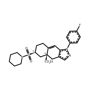 CCOC(=O)[C@]12Cc3cnn(-c4ccc(F)cc4)c3C=C1CC[C@H](S(=O)(=O)N1CCCCC1)C2